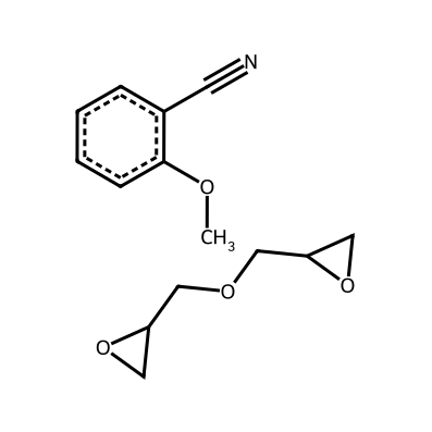 C(OCC1CO1)C1CO1.COc1ccccc1C#N